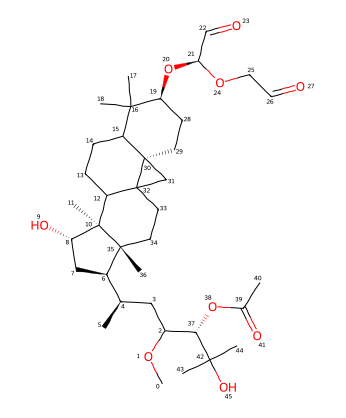 COC(C[C@@H](C)[C@H]1C[C@H](O)[C@@]2(C)C3CCC4C(C)(C)[C@@H](O[C@@H](C=O)OCC=O)CC[C@@]45CC35CC[C@]12C)[C@H](OC(C)=O)C(C)(C)O